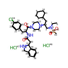 CCN(CC(CC1CCCCC1)N1CCN(C(=O)C(Cc2ccc(Cl)cc2)NC(=O)CC2NCc3ccccc32)CC1)S(C)(=O)=O.Cl.Cl